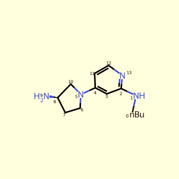 CCCCNc1cc(N2CC[C@@H](N)C2)ccn1